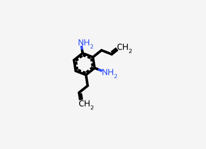 C=CCc1ccc(N)c(CC=C)c1N